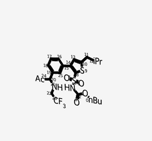 CCCCOC(=O)NS(=O)(=O)c1sc(CC(C)C)cc1-c1cccc(C(NCC(F)(F)F)C(C)=O)c1